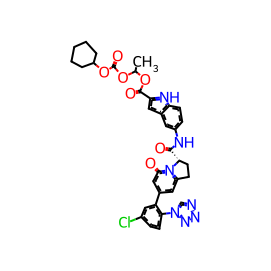 CC(OC(=O)OC1CCCCC1)OC(=O)c1cc2cc(NC(=O)[C@@H]3CCc4cc(-c5cc(Cl)ccc5-n5cnnn5)cc(=O)n43)ccc2[nH]1